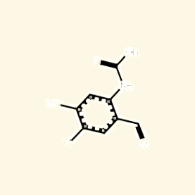 O=Cc1cc(Cl)c(O)cc1NC(=O)O